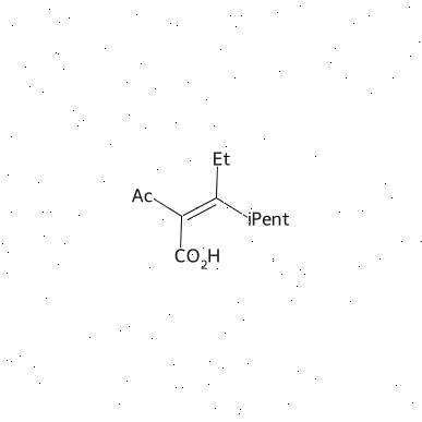 CCCC(C)C(CC)=C(C(C)=O)C(=O)O